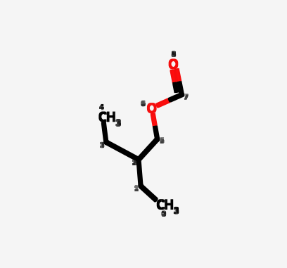 CCC(CC)COC=O